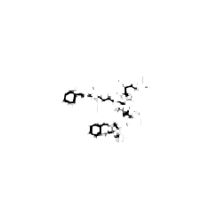 CC[C@@H](C)[C@H](N)C(=O)N[C@@H](CCCCNC(=O)OCc1ccccc1Cl)C(=O)N(C)C(I)(I)C(=O)O.Cn1ccn(Cc2ccccc2)[c]1=[Pt]